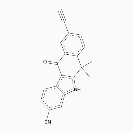 C#Cc1ccc2c(c1)C(=O)c1c([nH]c3cc(C#N)ccc13)C2(C)C